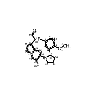 COc1ncc(F)cc1[C@H]1CCCN1c1nc2c(CC=O)cnn2cc1F